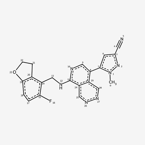 Cn1nc(C#N)cc1-c1cnc(NCc2c(F)ccc3c2CCO3)c2cnncc12